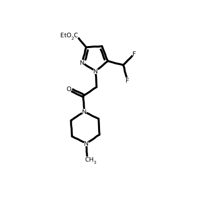 CCOC(=O)c1cc(C(F)F)n(CC(=O)N2CCN(C)CC2)n1